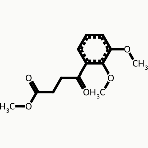 COC(=O)CCC(=O)c1cccc(OC)c1OC